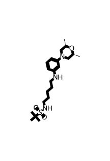 C[C@@H]1CN(c2cccc(NCCCCCNS(=O)(=O)C(C)(C)C)c2)C[C@H](C)O1